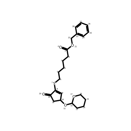 O=C(CCCCCSC1=CC(OC2CCCCO2)CC1=O)OCc1ccccc1